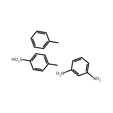 Cc1ccc(S(=O)(=O)O)cc1.Cc1ccccc1.O=[N+]([O-])c1cccc([N+](=O)[O-])c1